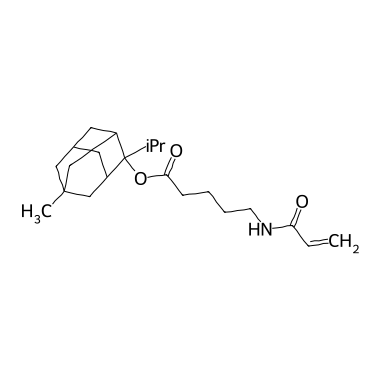 C=CC(=O)NCCCCC(=O)OC1(C(C)C)C2CC3CC1CC(C)(C3)C2